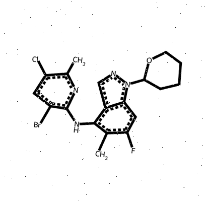 Cc1nc(Nc2c(C)c(F)cc3c2cnn3C2CCCCO2)c(Br)cc1Cl